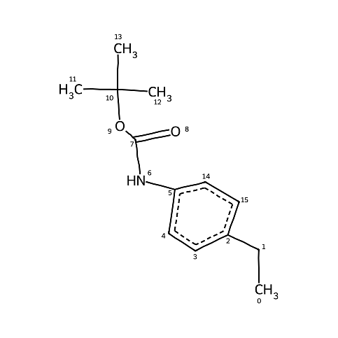 CCc1ccc(NC(=O)OC(C)(C)C)cc1